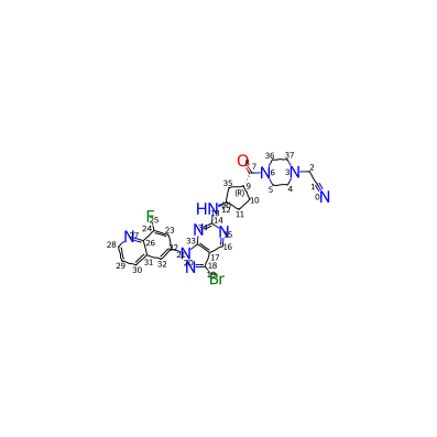 N#CCN1CCN(C(=O)[C@@H]2CC[C@@H](Nc3ncc4c(Br)nn(-c5cc(F)c6ncccc6c5)c4n3)C2)CC1